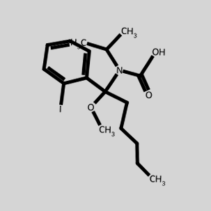 CCCCCC(OC)(c1ccccc1I)N(C(=O)O)C(C)C